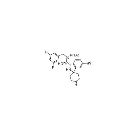 CC(=O)N[C@@H](Cc1cc(F)cc(F)c1)[C@H](O)CNC1(c2cccc(C(C)C)c2)CCNCC1